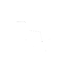 O=C(S)C1CCC(F)(F)C1